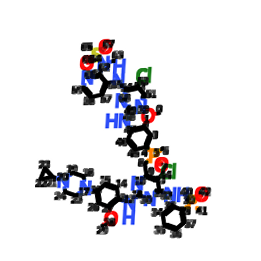 COc1cc(P(C)(=O)Cc2nc(Nc3ccc(N4CCN(C5CC5)CC4)cc3OC)nc(Nc3ccccc3P(C)(C)=O)c2Cl)ccc1Nc1ncc(Cl)c(Nc2cccnc2N(C)S(C)(=O)=O)n1